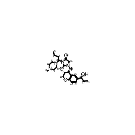 CCCC(N1CCN(C)CC1)N1C(=O)CN(/N=C2\CCOc3ccc(C(O)CC)cc32)C1=O